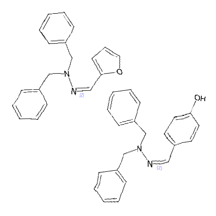 C(=N/N(Cc1ccccc1)Cc1ccccc1)/c1ccco1.Oc1ccc(/C=N\N(Cc2ccccc2)Cc2ccccc2)cc1